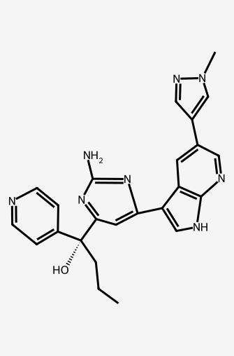 CCC[C@@](O)(c1ccncc1)c1cc(-c2c[nH]c3ncc(-c4cnn(C)c4)cc23)nc(N)n1